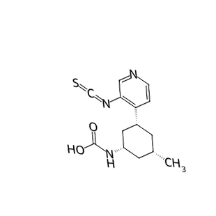 C[C@@H]1C[C@H](NC(=O)O)C[C@H](c2ccncc2N=C=S)C1